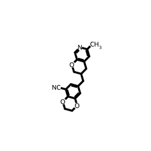 Cc1cc2c(cn1)OCC(Cc1cc(C#N)c3c(c1)OCCO3)C2